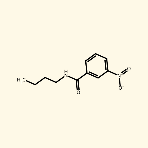 CCCCNC(=O)c1cccc([N+](=O)[O-])c1